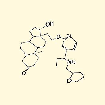 CCC(NCC1CCCO1)c1ccnc(OCC[C@]23CCC4C(CCC5CC(=O)CC[C@@]54C)C2CC[C@@H]3O)c1